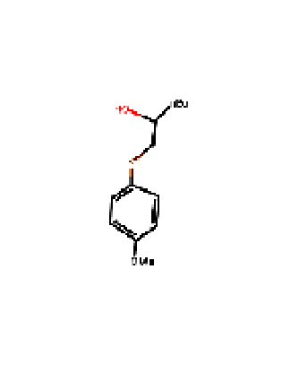 CCCCC(O)CSc1ccc(OC)cc1